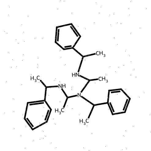 CC(NC(C)N(C(C)NC(C)c1ccccc1)C(C)c1ccccc1)c1ccccc1